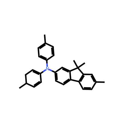 Cc1ccc(N(C2=CCC(C)C=C2)c2ccc3c(c2)C(C)(C)c2cc(C)ccc2-3)cc1